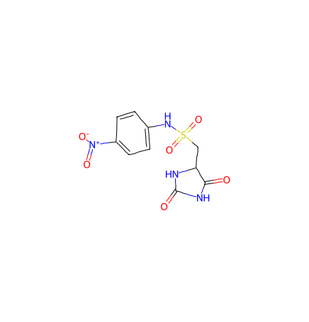 O=C1NC(=O)C(CS(=O)(=O)Nc2ccc([N+](=O)[O-])cc2)N1